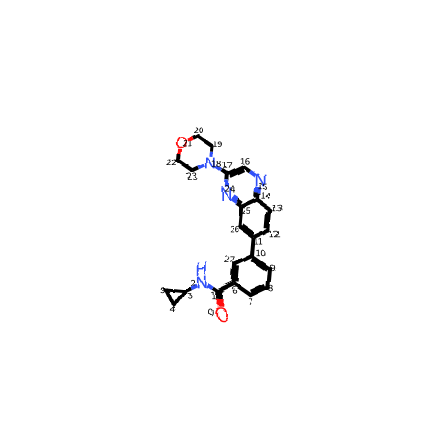 O=C(NC1CC1)c1cccc(-c2ccc3ncc(N4CCOCC4)nc3c2)c1